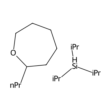 CC(C)[SiH](C(C)C)C(C)C.CCCC1CCCCCO1